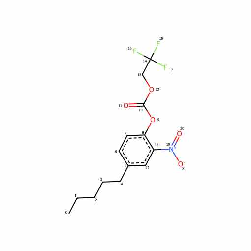 CCCCCc1ccc(OC(=O)OCC(F)(F)F)c([N+](=O)[O-])c1